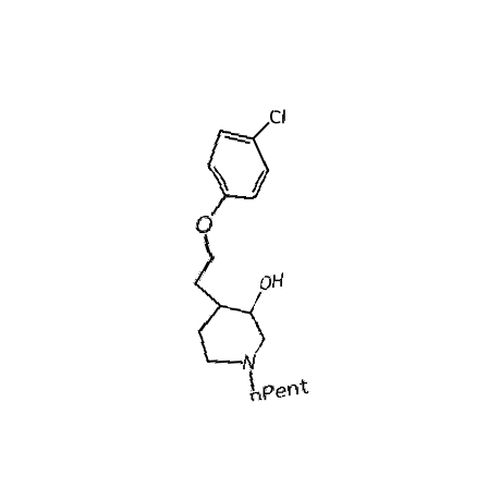 CCCCCN1CCC(CCOc2ccc(Cl)cc2)C(O)C1